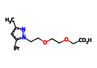 Cc1cc(C(C)C)n(CCOCCOCC(=O)O)n1